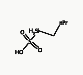 CCCC[SiH2]S(=O)(=O)O